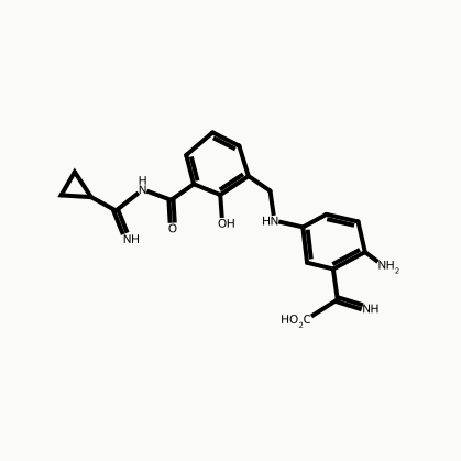 N=C(C(=O)O)c1cc(NCc2cccc(C(=O)NC(=N)C3CC3)c2O)ccc1N